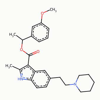 COc1cccc(C(C)OC(=O)c2c(C)[nH]c3ccc(CCN4CCCCC4)cc23)c1